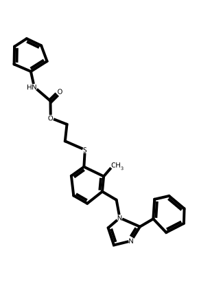 Cc1c(Cn2ccnc2-c2ccccc2)cccc1SCCOC(=O)Nc1ccccc1